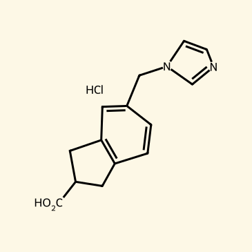 Cl.O=C(O)C1Cc2ccc(Cn3ccnc3)cc2C1